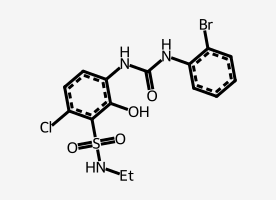 CCNS(=O)(=O)c1c(Cl)ccc(NC(=O)Nc2ccccc2Br)c1O